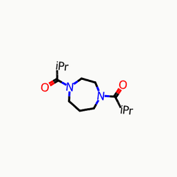 CC(C)C(=O)N1CCCN(C(=O)C(C)C)CC1